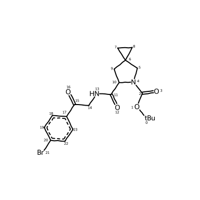 CC(C)(C)OC(=O)N1CC2(CC2)CC1C(=O)NCC(=O)c1ccc(Br)cc1